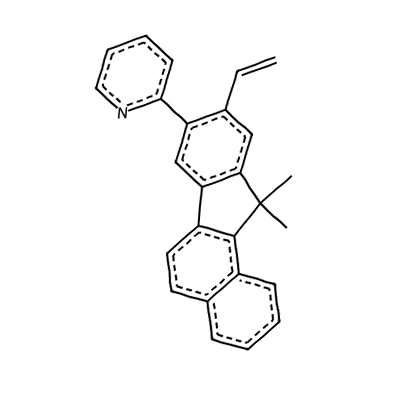 C=Cc1cc2c(cc1-c1ccccn1)-c1ccc3ccccc3c1C2(C)C